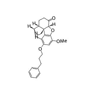 COc1cc(OCCCc2ccccc2)c2c3c1O[C@H]1C(=O)CC[C@H]4[C@@H](C2)NCC[C@]314